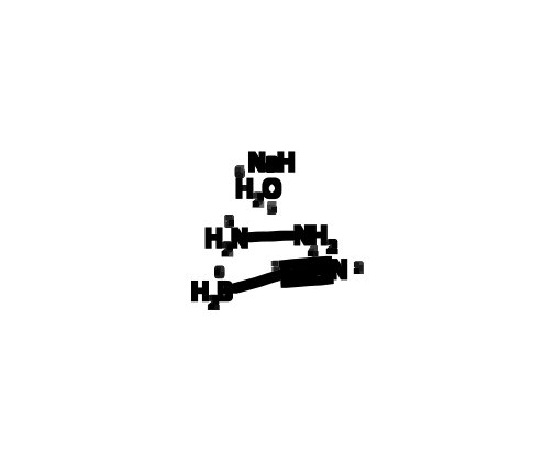 BC#N.NN.O.[NaH]